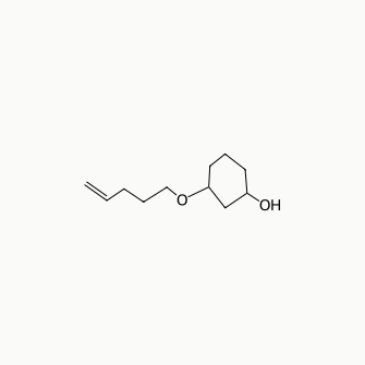 C=CCCCOC1CCCC(O)C1